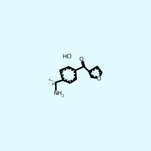 C[C@@H](N)c1ccc(C(=O)c2ccoc2)cc1.Cl